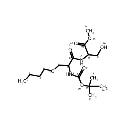 CCCCOCC(NC(=O)OC(C)(C)C)C(=O)NC(CO)C(=O)OC